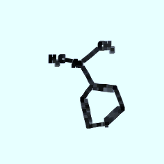 C[As](C)c1cc[c]cc1